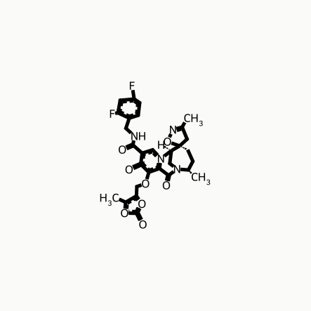 CC1=NO[C@@]2(CC[C@H](C)N3C[C@H]2n2cc(C(=O)NCc4ccc(F)cc4F)c(=O)c(OCc4oc(=O)oc4C)c2C3=O)C1